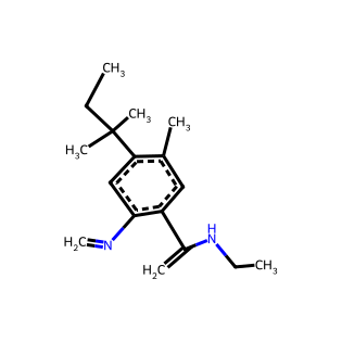 C=Nc1cc(C(C)(C)CC)c(C)cc1C(=C)NCC